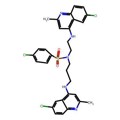 Cc1cc(NCCCN(CCNc2cc(C)nc3ccc(Cl)cc23)S(=O)(=O)c2ccc(Cl)cc2)c2cc(Cl)ccc2n1